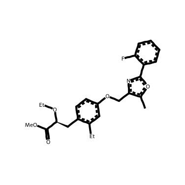 CCO[C@@H](Cc1ccc(OCc2nc(-c3ccccc3F)oc2C)cc1CC)C(=O)OC